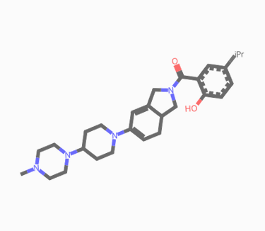 CC(C)c1ccc(O)c(C(=O)N2CC3=CC(N4CCC(N5CCN(C)CC5)CC4)=CCC3C2)c1